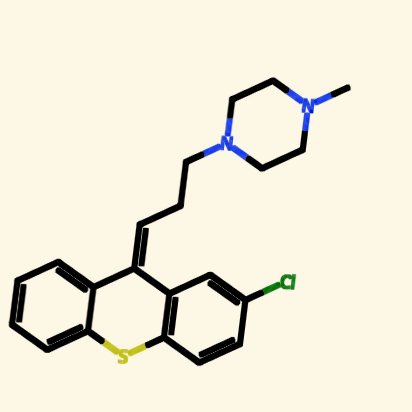 CN1CCN(CCC=C2c3ccccc3Sc3ccc(Cl)cc32)CC1